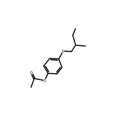 CCC(C)COc1ccc(OC(C)=O)cc1